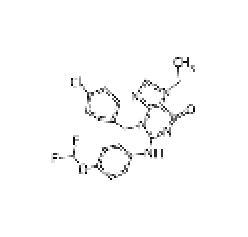 CCn1cnc2c1c(=O)nc(Nc1ccc(OC(F)F)cc1)n2Cc1ccc(Cl)cc1